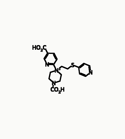 O=C(O)c1ccc([N+]2(CCSc3ccncc3)CCN(C(=O)O)CC2)nc1